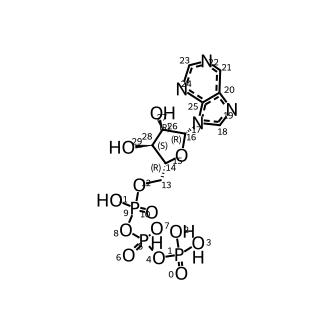 O=P(O)(O)OP(=O)(O)OP(=O)(O)OC[C@H]1O[C@@H](n2cnc3cncnc32)[C@H](O)[C@@H]1O